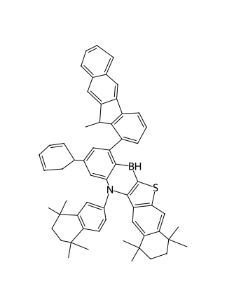 CC1c2cc3ccccc3cc2-c2cccc(-c3cc(C4C=CC=CC4)cc4c3Bc3sc5cc6c(cc5c3N4c3ccc4c(c3)C(C)(C)CCC4(C)C)C(C)(C)CCC6(C)C)c21